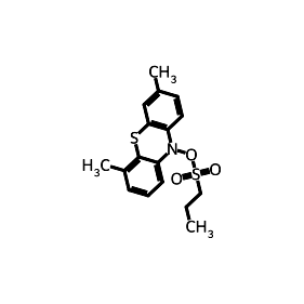 CCCS(=O)(=O)ON1c2ccc(C)cc2Sc2c(C)cccc21